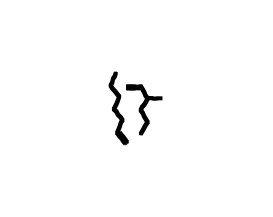 C=CC(C)CCC.C=CCCCCC